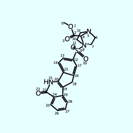 COC(=O)C1N2CC[N+]1(S(=O)(=O)c1ccc3c(c1)Cc1c-3[nH]c(=O)c3ccccc13)CC2